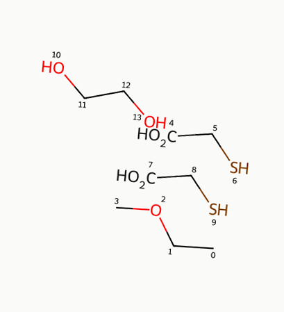 CCOC.O=C(O)CS.O=C(O)CS.OCCO